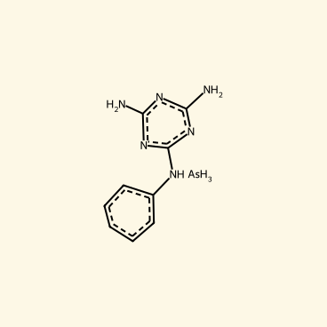 Nc1nc(N)nc(Nc2ccccc2)n1.[AsH3]